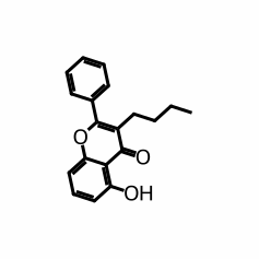 CCCCc1c(-c2ccccc2)oc2cccc(O)c2c1=O